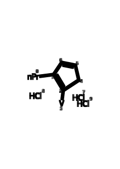 CCCC1=[C]([V])CC=C1.Cl.Cl.Cl